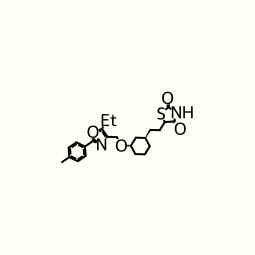 CCc1oc(-c2ccc(C)cc2)nc1CO[C@@H]1CCC[C@H](CCC2SC(=O)NC2=O)C1